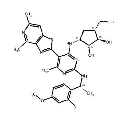 Cc1cc2sc(-c3c(C)nc(N[C@H](C)c4ccc(OC(F)(F)F)cc4F)nc3N[C@@H]3C[C@H](CO)[C@@H](O)[C@H]3O)nc2c(C)n1